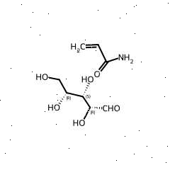 C=CC(N)=O.O=C[C@H](O)[C@@H](O)[C@H](O)CO